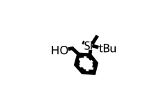 CC(C)(C)[Si](C)(C)c1ccccc1CO